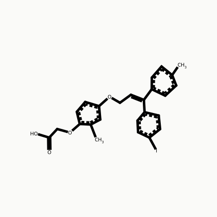 Cc1ccc(C(=CCOc2ccc(OCC(=O)O)c(C)c2)c2ccc(I)cc2)cc1